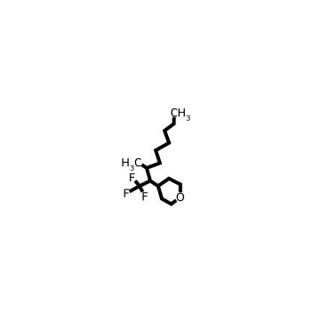 CCCCCCC(C)C(C1CCOCC1)C(F)(F)F